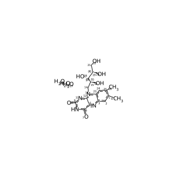 Cc1cc2nc3c(=O)[nH]c(=O)nc-3n(C[C@H](O)[C@H](O)[C@H](O)CO)c2cc1C.O.O.O